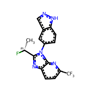 C[C@@H](F)c1nc2ccc(C(F)(F)F)nc2n1-c1ccc2[nH]ncc2c1